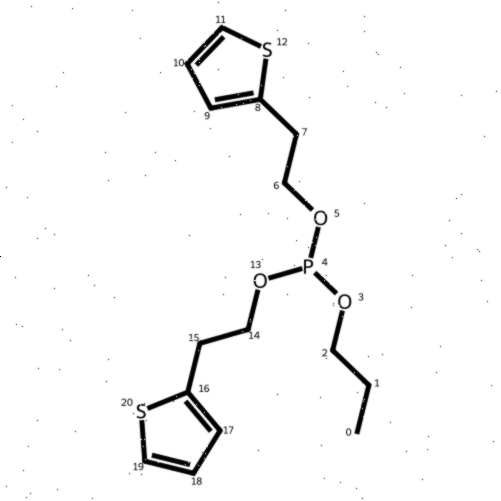 CCCOP(OCCc1cccs1)OCCc1cccs1